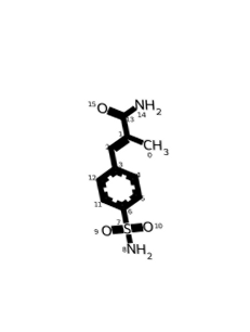 C/C(=C\c1ccc(S(N)(=O)=O)cc1)C(N)=O